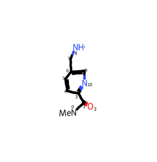 CNC(=O)c1ccc(C[NH])cn1